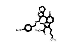 COC(=O)c1c(CCCOC(C)=O)c2ccc(F)c(-c3c(COCc4ccc(OC)cc4)nn4c3CCC4)c2n1C